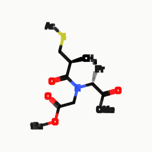 COC(=O)[C@@H](C(C)C)N(CC(=O)OC(C)(C)C)C(=O)[C@H](C)CSC(C)=O